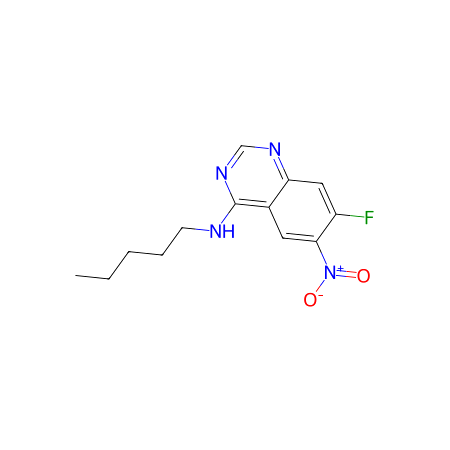 CCCCCNc1ncnc2cc(F)c([N+](=O)[O-])cc12